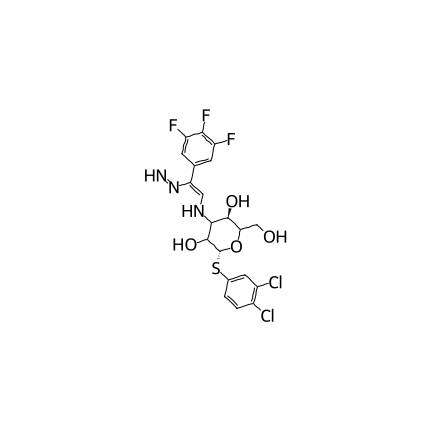 N=N/C(=C\NC1C(O)[C@@H](Sc2ccc(Cl)c(Cl)c2)OC(CO)[C@@H]1O)c1cc(F)c(F)c(F)c1